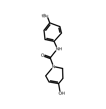 CC(C)(C)c1ccc(NC(=O)N2CC=C(O)CC2)cc1